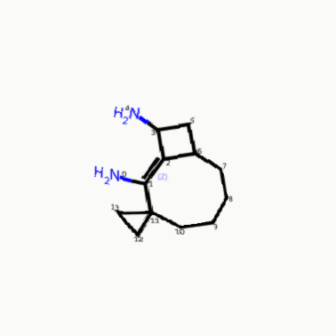 N/C1=C2\C(N)CC2CCCCC12CC2